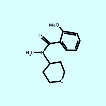 COc1ccccc1C(=O)N(C)C1CCOCC1